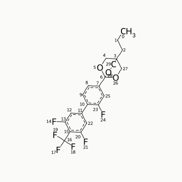 CCCC12COC(c3ccc(-c4cc(F)c(C(F)(F)F)c(F)c4)c(F)c3)(OC1)OC2